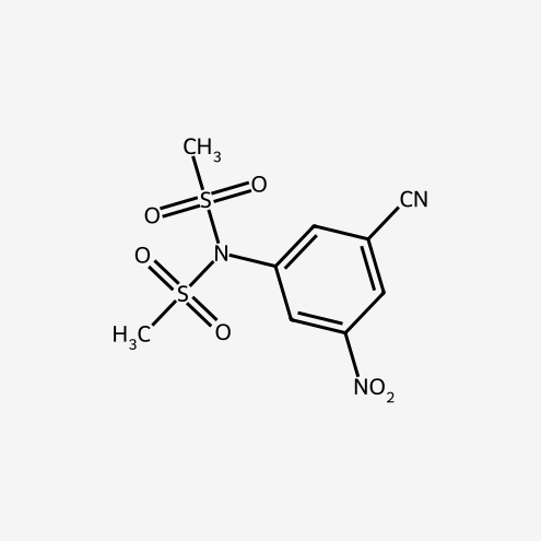 CS(=O)(=O)N(c1cc(C#N)cc([N+](=O)[O-])c1)S(C)(=O)=O